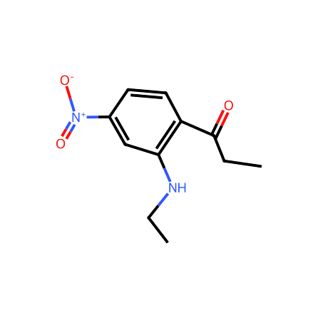 CCNc1cc([N+](=O)[O-])ccc1C(=O)CC